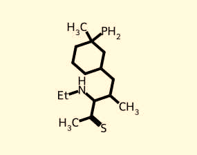 CCNC(C(C)=S)C(C)CC1CCCC(C)(P)C1